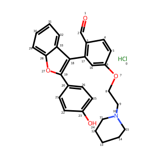 Cl.O=Cc1ccc(OCCN2CCCCC2)cc1-c1c(-c2ccc(O)cc2)oc2ccccc12